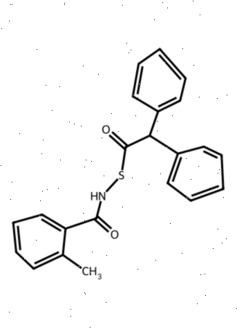 Cc1ccccc1C(=O)NSC(=O)C(c1ccccc1)c1ccccc1